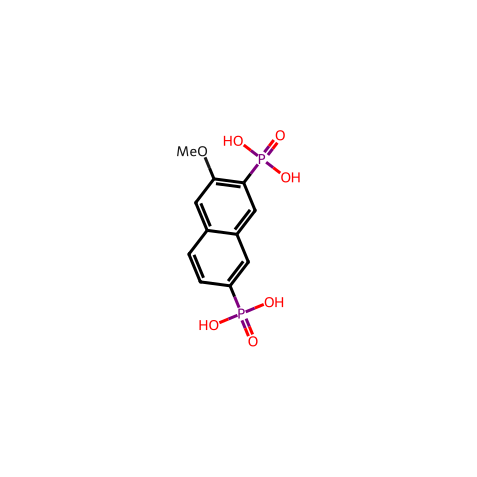 COc1cc2ccc(P(=O)(O)O)cc2cc1P(=O)(O)O